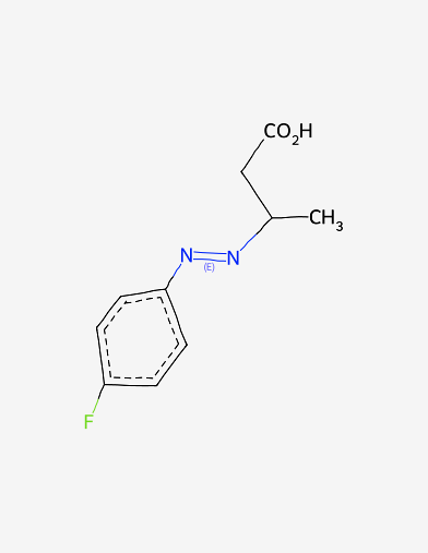 CC(CC(=O)O)/N=N/c1ccc(F)cc1